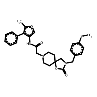 O=C(CN1CCC2(CC1)CN(Cc1ccc(SC(F)(F)F)cc1)C(=O)O2)Nc1csc(C(F)(F)F)c1-c1ccccc1